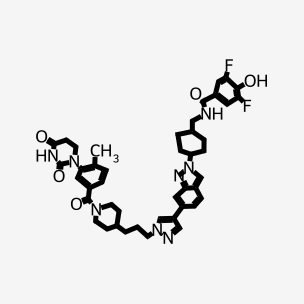 Cc1ccc(C(=O)N2CCC(CCCn3cc(-c4ccc5cn(C6CCC(CNC(=O)c7cc(F)c(O)c(F)c7)CC6)nc5c4)cn3)CC2)cc1N1CCC(=O)NC1=O